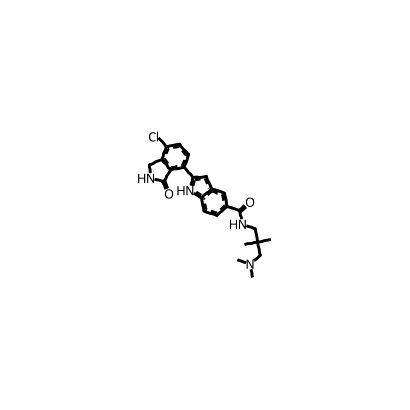 CN(C)CC(C)(C)CNC(=O)c1ccc2[nH]c(-c3ccc(Cl)c4c3C(=O)NC4)cc2c1